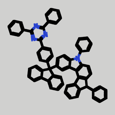 c1ccc(-c2nc(-c3ccccc3)nc(-c3ccc(C4(c5ccc6c(c5)c5c7c(ccc5n6-c5ccccc5)C(c5ccccc5)c5ccccc5-7)c5ccccc5-c5ccccc54)cc3)n2)cc1